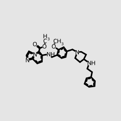 COC(=O)c1c(NCc2ccc(CN3CCC(NCCc4ccccc4)CC3)cc2OC)ccc2nccn12